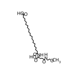 COCCNC(=O)CC[C@H](NC(=O)CCCCCCCCCCCCCCCCCCCCC(=O)O)C(=O)O